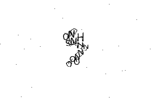 O=C(OC1COC1)N1CCN(c2ccnc3[nH]c(-c4csc(C(=O)N5CCCC5)n4)cc23)CC1